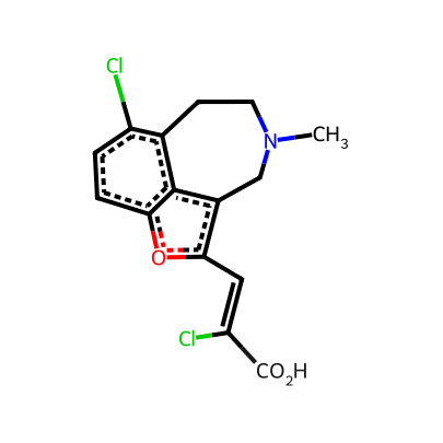 CN1CCc2c(Cl)ccc3oc(C=C(Cl)C(=O)O)c(c23)C1